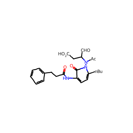 CCCCc1ccc(NC(=O)CCc2ccccc2)c(=O)n1N(C(C)=O)C(C=O)CC(=O)O